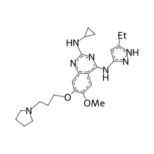 CCc1cc(Nc2nc(NC3CC3)nc3cc(OCCCN4CCCC4)c(OC)cc23)n[nH]1